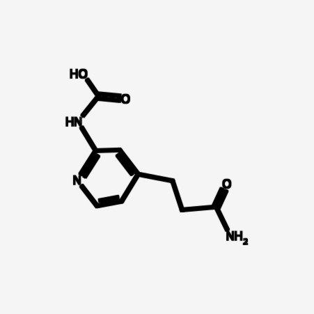 NC(=O)CCc1ccnc(NC(=O)O)c1